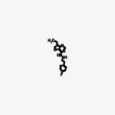 CCn1cnc2c(NNCCc3ccc(F)cc3)ncnc21